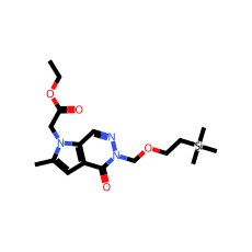 CCOC(=O)Cn1c(C)cc2c(=O)n(COCC[Si](C)(C)C)ncc21